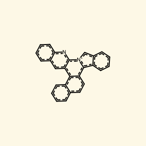 c1ccc2nc3c(cc2c1)c1c2ccccc2ccc1c1c2ccccc2cn31